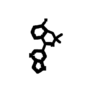 CC1(C)Cc2c(F)cccc2C(c2cnc3ccnn3c2)=N1